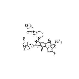 N#Cc1c(N)sc2c(F)ccc(-c3c(Cl)cc4c(N5CCCCC6(CN(C(=O)C78COCC7C8)C6)C5)nc(OC[C@@]56CCCN5C[C@H](F)C6)nc4c3F)c12